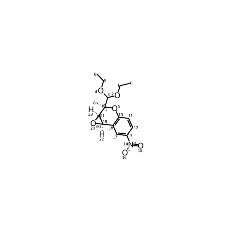 CCOC(OCC)[C@@]1(C)Oc2ccc([N+](=O)[O-])cc2[C@H]2O[C@H]21